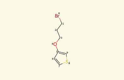 BrCCCOc1ccsc1